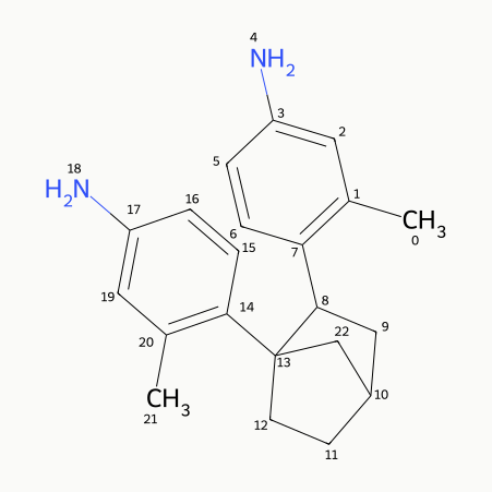 Cc1cc(N)ccc1C1CC2CCC1(c1ccc(N)cc1C)C2